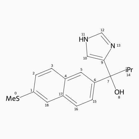 CSc1ccc2cc(C(O)(c3c[nH]cn3)C(C)C)ccc2c1